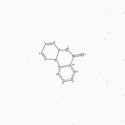 O=C1OC2C=CC=CC2c2ccccc21